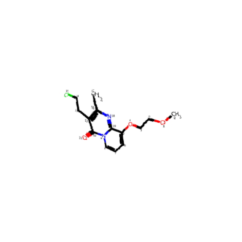 COCCOc1cccn2c(=O)c(CCCl)c(C)nc12